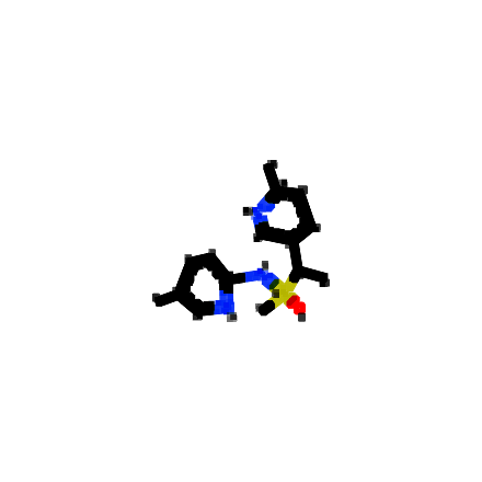 Cc1ccc(N=S(C)(=O)C(C)c2ccc(C)nc2)nc1